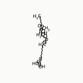 C=CC(/C=C\CCCCCCCCCOCC(COO)OO)OC1C=C2CC[C@H]3[C@@H]4CC[C@H](OC(=O)CCCCCC)[C@@]4(C)CC[C@@H]3[C@@]2(C)CC1